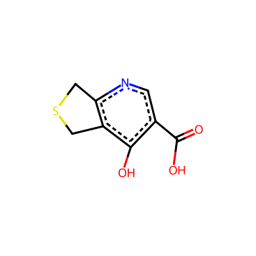 O=C(O)c1cnc2c(c1O)CSC2